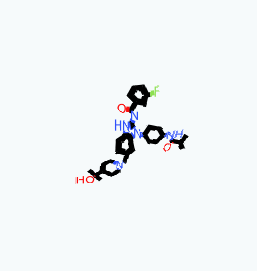 CC(C)C(=O)NC1CCC(n2c(=NC(=O)c3cccc(F)c3)[nH]c3ccc(CN4CCC(C(C)(C)O)CC4)cc32)CC1